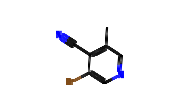 Cc1cncc(Br)c1C#N